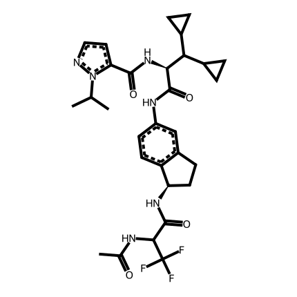 CC(=O)NC(C(=O)N[C@@H]1CCc2cc(NC(=O)[C@@H](NC(=O)c3ccnn3C(C)C)C(C3CC3)C3CC3)ccc21)C(F)(F)F